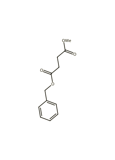 [CH2]OC(=O)CCC(=O)OCc1ccccc1